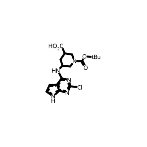 CC(C)(C)OC(=O)N1CC(Nc2nc(Cl)nc3[nH]ccc23)CC(C(=O)O)C1